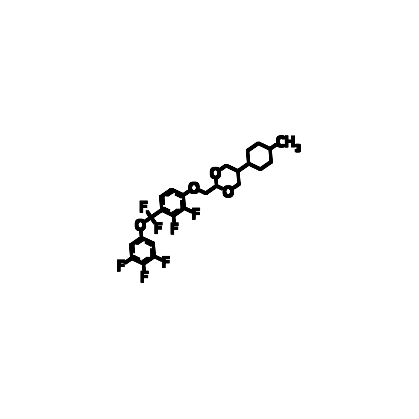 CC1CCC(C2COC(COc3ccc(C(F)(F)Oc4cc(F)c(F)c(F)c4)c(F)c3F)OC2)CC1